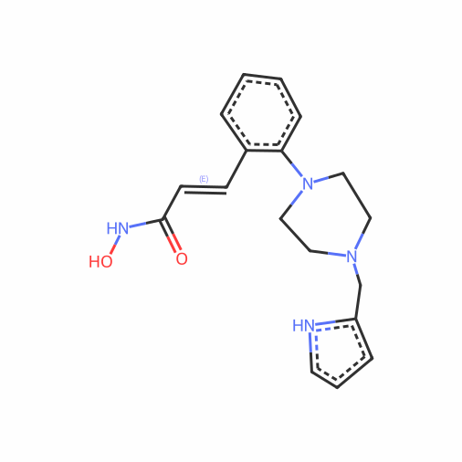 O=C(/C=C/c1ccccc1N1CCN(Cc2ccc[nH]2)CC1)NO